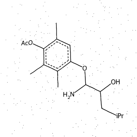 CC(=O)Oc1c(C)cc(OC(N)C(O)CC(C)C)c(C)c1C